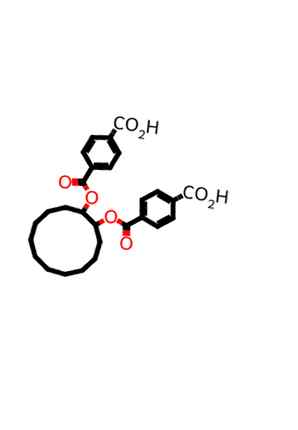 O=C(O)c1ccc(C(=O)OC2CCCCCCCCCCC2OC(=O)c2ccc(C(=O)O)cc2)cc1